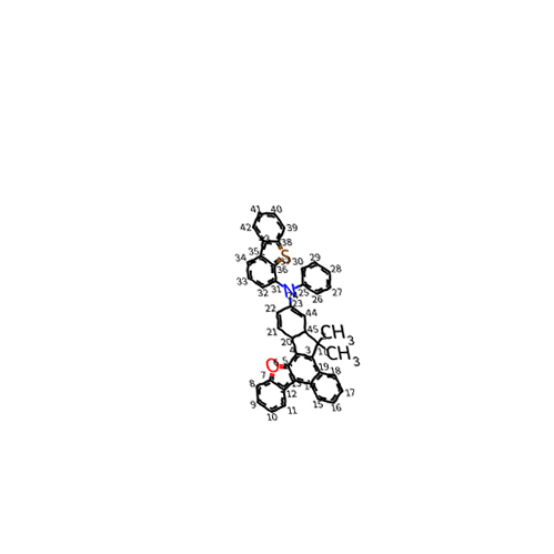 CC1(C)c2c(c3oc4ccccc4c3c3ccccc23)C2C=CC(N(c3ccccc3)c3cccc4c3sc3ccccc34)=CC21